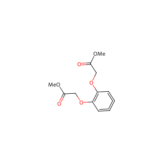 COC(=O)COC1=C(OCC(=O)OC)C=C=C=C1